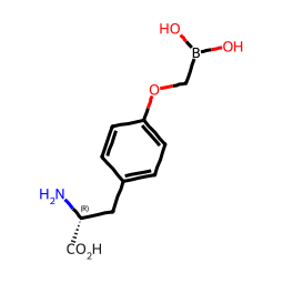 N[C@H](Cc1ccc(OCB(O)O)cc1)C(=O)O